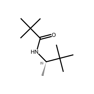 C[C@H](NC(=O)C(C)(C)C)C(C)(C)C